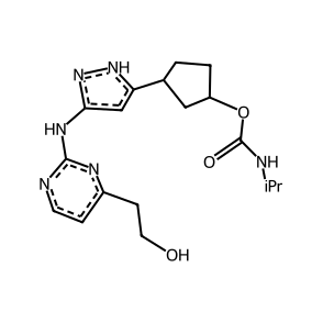 CC(C)NC(=O)OC1CCC(c2cc(Nc3nccc(CCO)n3)n[nH]2)C1